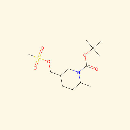 CC1CCC(COS(C)(=O)=O)CN1C(=O)OC(C)(C)C